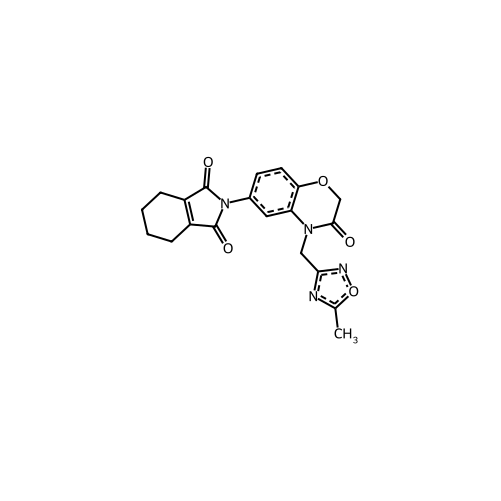 Cc1nc(CN2C(=O)COc3ccc(N4C(=O)C5=C(CCCC5)C4=O)cc32)no1